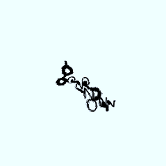 Cc1ccc(-c2ccccc2OCCN2CCn3c(ccc(-n4cnc(C)c4)c3=O)C2=O)cc1